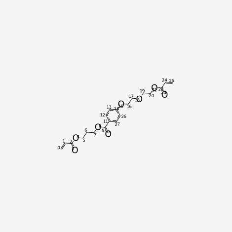 C=CC(=O)OCCCOC(=O)c1ccc(OCCOCCOC(=O)C=C)cc1